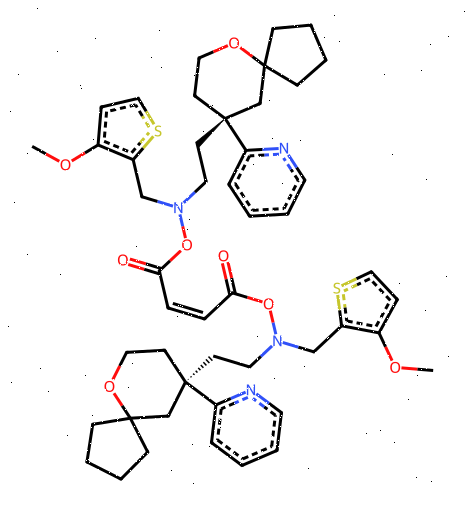 COc1ccsc1CN(CC[C@@]1(c2ccccn2)CCOC2(CCCC2)C1)OC(=O)/C=C\C(=O)ON(CC[C@@]1(c2ccccn2)CCOC2(CCCC2)C1)Cc1sccc1OC